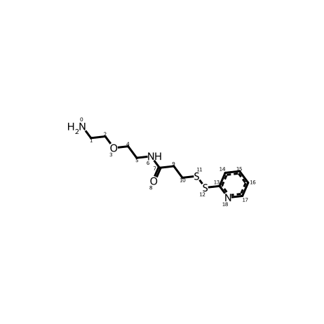 NCCOCCNC(=O)CCSSc1ccccn1